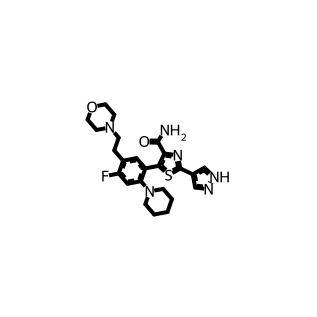 NC(=O)c1nc(-c2cn[nH]c2)sc1-c1cc(CCN2CCOCC2)c(F)cc1N1CCCCC1